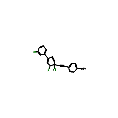 CCCc1ccc(C#CC2(Cl)C=CC(c3cccc(F)c3)=CC2F)cc1